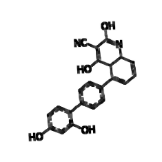 N#CC1=C(O)C2C(c3ccc(-c4ccc(O)cc4O)cc3)=CC=CC2N=C1O